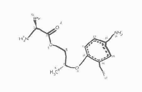 CC(C)[C@H](N)C(=O)OC[C@@H](C)Oc1ccc(N)cc1F